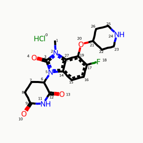 Cl.Cn1c(=O)n(C2CCC(=O)NC2=O)c2ccc(F)c(OC3CCNCC3)c21